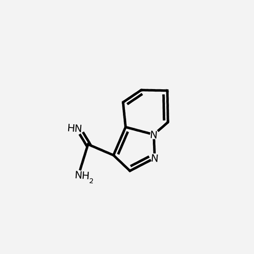 N=C(N)c1cnn2ccccc12